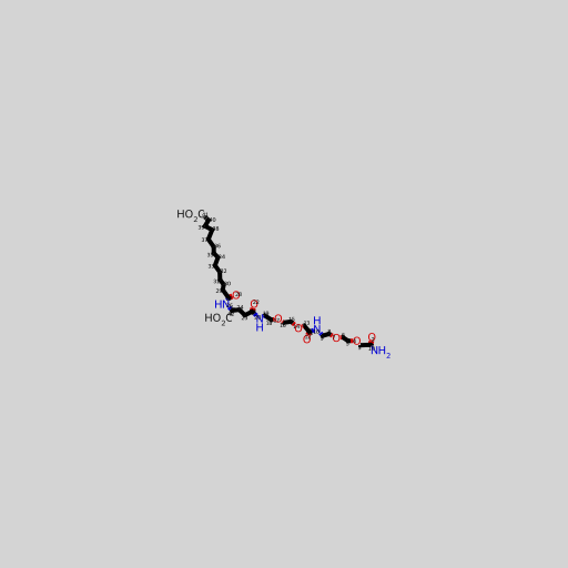 NC(=O)COCCOCCNC(=O)COCCOCCNC(=O)CC[C@H](NC(=O)CCCCCCCCCCCCC(=O)O)C(=O)O